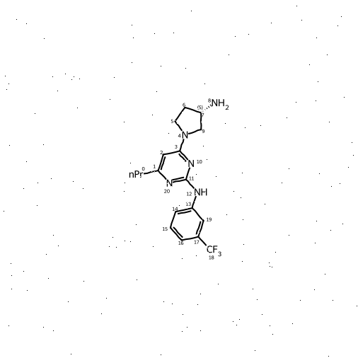 CCCc1cc(N2CC[C@H](N)C2)nc(Nc2cccc(C(F)(F)F)c2)n1